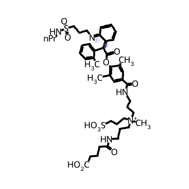 CCCNS(=O)(=O)CCC/N=C1\C=CC=C\C1=C(/C(=O)Oc1c(C)cc(C(=O)NCCC[N+](C)(CCCNC(=O)CCCC(=O)O)CCCS(=O)(=O)O)cc1C)c1ccccc1C